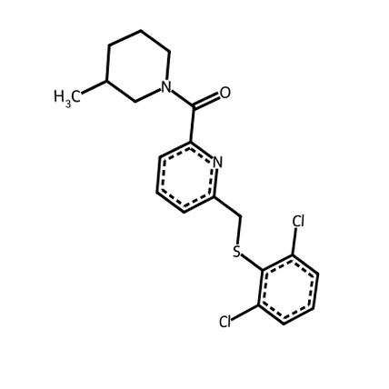 CC1CCCN(C(=O)c2cccc(CSc3c(Cl)cccc3Cl)n2)C1